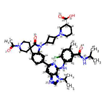 CC(=O)N1CCC2(CC1)C(=O)N(C1CC(N3CCC[C@@H](C(=O)O)C3)C1)c1cc(-c3cc4ncn(C(C)C)c4c(Nc4cc(C(=O)NC(C)C)c(C)cc4F)n3)ccc12